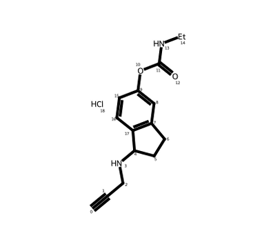 C#CCNC1CCc2cc(OC(=O)NCC)ccc21.Cl